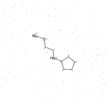 CC(C)(C)OCCNC1CCCC1